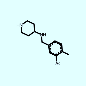 CC(=O)c1cc(CNC2CCNCC2)ccc1C